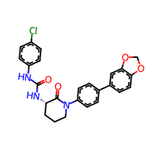 O=C(Nc1ccc(Cl)cc1)N[C@H]1CCCN(c2ccc(-c3ccc4c(c3)OCO4)cc2)C1=O